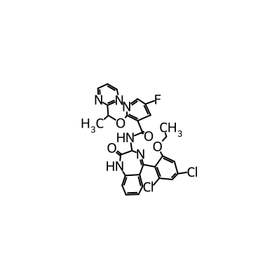 CCOc1cc(Cl)cc(Cl)c1C1=NC(NC(=O)c2cc(F)cnc2OC(C)c2ncccn2)C(=O)Nc2ccccc21